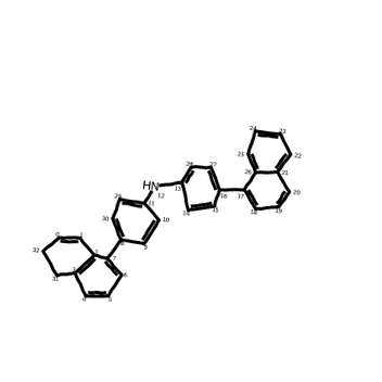 C1=Cc2c(cccc2-c2ccc(Nc3ccc(-c4cccc5ccccc45)cc3)cc2)CC1